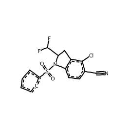 N#Cc1ccc2c(c1Cl)CC(C(F)F)N2S(=O)(=O)c1ccccc1